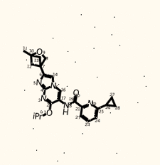 CC(C)Oc1nc2nc(C34COC(C)(C3)C4)cn2cc1NC(=O)c1cccc(C2CC2)n1